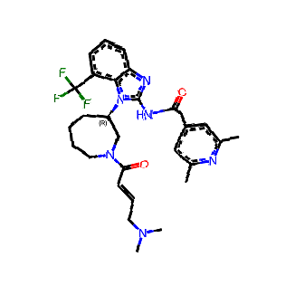 Cc1cc(C(=O)Nc2nc3cccc(C(F)(F)F)c3n2[C@@H]2CCCCN(C(=O)C=CCN(C)C)C2)cc(C)n1